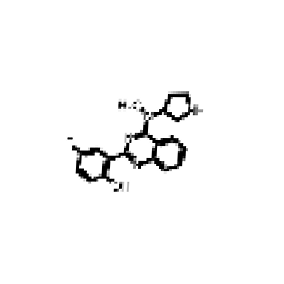 CN(c1nc(-c2cc(F)ccc2O)nc2ccccc12)C1CCNC1